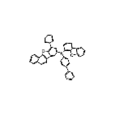 C1=CC(c2cc(N(c3ccc(-c4ccccc4)cc3)c3cccc4c3oc3ccccc34)cc3c2oc2c4ccccc4ccc32)=CCC1